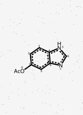 CC(=O)Oc1ccc2[nH]cnc2c1